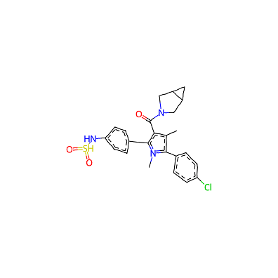 Cc1c(C(=O)N2CC3CC3C2)c(-c2ccc(N[SH](=O)=O)cc2)n(C)c1-c1ccc(Cl)cc1